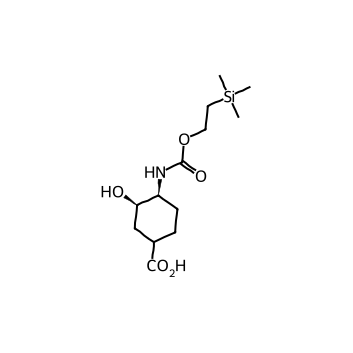 C[Si](C)(C)CCOC(=O)N[C@H]1CCC(C(=O)O)C[C@H]1O